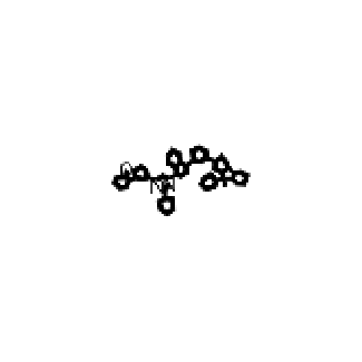 CC1(c2ccccc2)c2ccccc2-c2ccc(-c3cccc(-c4ccc(-c5cc(-c6ccc7oc8ccccc8c7c6)nc(-c6ccccc6)n5)c5ccccc45)c3)cc21